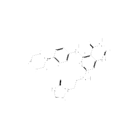 O=C1NCCN1CCNc1cc2nc[nH]c(=O)c2c(Nc2ccc(N3CCOCC3)cc2)n1